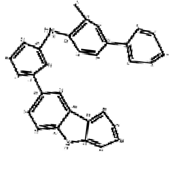 Cc1cc(-c2ccccc2)ccc1Nc1cccc(-c2ccc3sc4ccccc4c3c2)c1